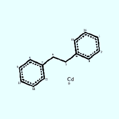 [Cd].c1ccc(CCc2ccccc2)cc1